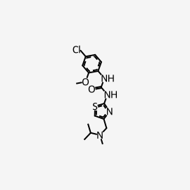 COc1cc(Cl)ccc1NC(=O)Nc1nc(CN(C)C(C)C)cs1